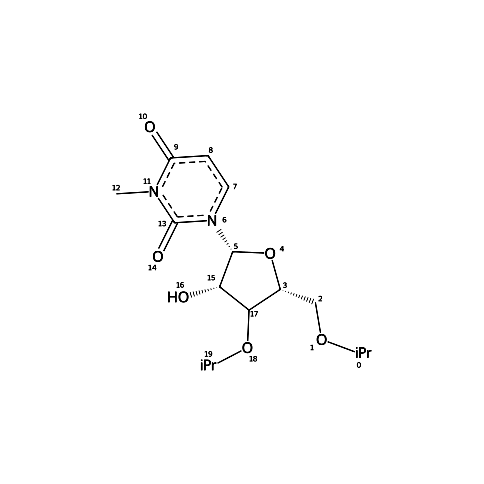 CC(C)OC[C@H]1O[C@@H](n2ccc(=O)n(C)c2=O)[C@@H](O)C1OC(C)C